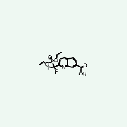 CCOP(=O)(OCC)C(F)(F)c1ccc2ccc(C(=O)O)cc2n1